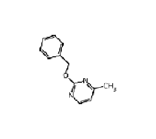 Cc1ccnc(OCc2ccccc2)n1